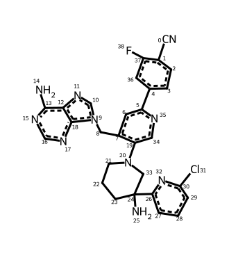 N#Cc1ccc(-c2cc(Cn3cnc4c(N)ncnc43)c(N3CCCC(N)(c4cccc(Cl)n4)C3)cn2)cc1F